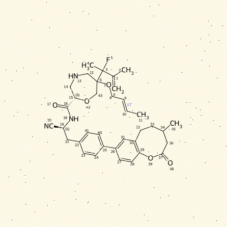 C=C(C)C(C)(F)C1(OC/C=C/C)CNC[C@@H](C(=O)N[C@H](C#N)Cc2ccc(-c3ccc4c(c3)CCC(C)CC(=O)O4)cc2)OC1